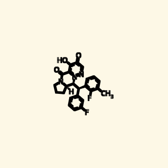 Cc1cccc([C@@H](c2cccc(F)c2)[C@H]2[C@H]3CCCN3C(=O)c3c(O)c(=O)cnn32)c1F